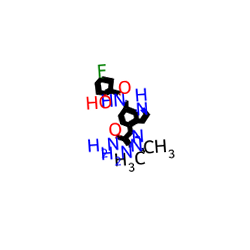 CC(C)n1nc(-c2ccc(CNC(=O)c3cc(F)ccc3O)c3[nH]ccc23)c(C(N)=O)c1N